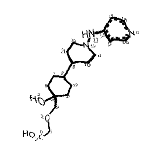 O=C(O)COCC1(O)CCC(C2CCN(Nc3ccncc3)CC2)CC1